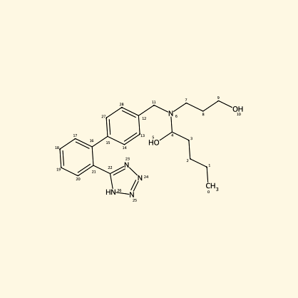 CCCCC(O)N(CCCO)Cc1ccc(-c2ccccc2-c2nnn[nH]2)cc1